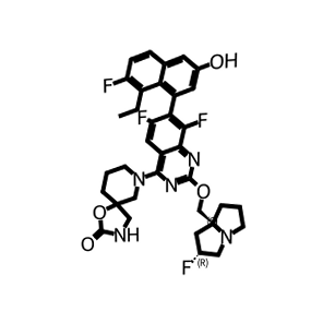 CCc1c(F)ccc2cc(O)cc(-c3c(F)cc4c(N5CCCC6(CNC(=O)O6)C5)nc(OC[C@@]56CCCN5C[C@H](F)C6)nc4c3F)c12